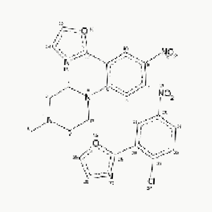 CN1CCN(c2ccc([N+](=O)[O-])cc2-c2ncco2)CC1.O=[N+]([O-])c1ccc(Cl)c(-c2ncco2)c1